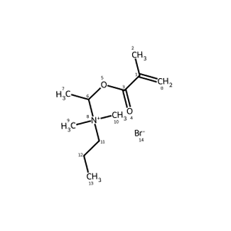 C=C(C)C(=O)OC(C)[N+](C)(C)CCC.[Br-]